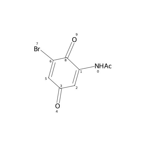 CC(=O)NC1=CC(=O)C=C(Br)C1=O